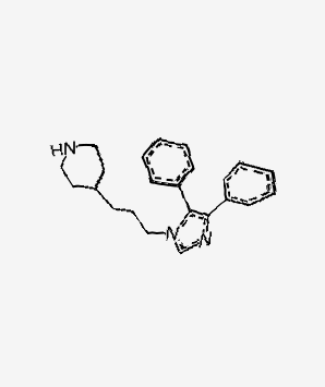 c1ccc(-c2ncn(CCCC3CCNCC3)c2-c2ccccc2)cc1